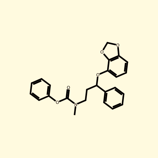 CN(CCC(Oc1cccc2c1OCO2)c1ccccc1)C(=O)Oc1ccccc1